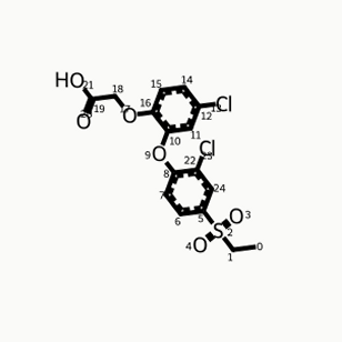 CCS(=O)(=O)c1ccc(Oc2cc(Cl)ccc2OCC(=O)O)c(Cl)c1